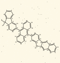 CC1(C)c2ccccc2-c2cc(-c3c4ccccc4c(-c4ccc5c(c4)oc4cc6ccccc6cc45)c4ccccc34)ccc21